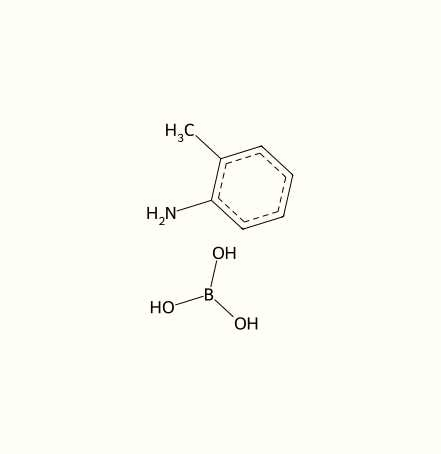 Cc1ccccc1N.OB(O)O